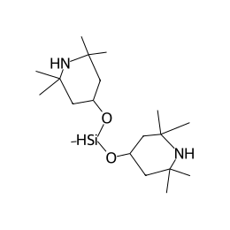 C[SiH](OC1CC(C)(C)NC(C)(C)C1)OC1CC(C)(C)NC(C)(C)C1